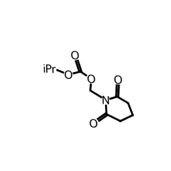 CC(C)OC(=O)OCN1C(=O)CCCC1=O